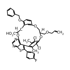 C=CCOC[C@@H]1COc2ccc(OCc3ccccc3)c(c2)C[C@H](C(=O)O)Oc2ncnc3sc(-c4ccc(F)cc4)c(c23)-c2c(C)c(Cl)c(c(Cl)c2C)O1